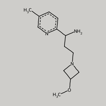 COC1CN(CCC(N)c2ccc(C)cn2)C1